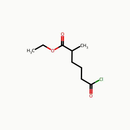 CCOC(=O)C(C)CCCC(=O)Cl